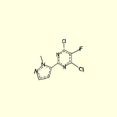 Cn1nccc1-c1nc(Cl)c(F)c(Cl)n1